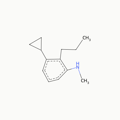 CCCc1c(NC)cccc1C1CC1